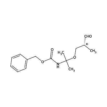 C[C@@H](C=O)COC(C)(C)NC(=O)OCc1ccccc1